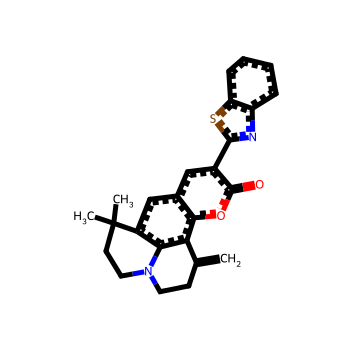 C=C1CCN2CCC(C)(C)c3cc4cc(-c5nc6ccccc6s5)c(=O)oc4c1c32